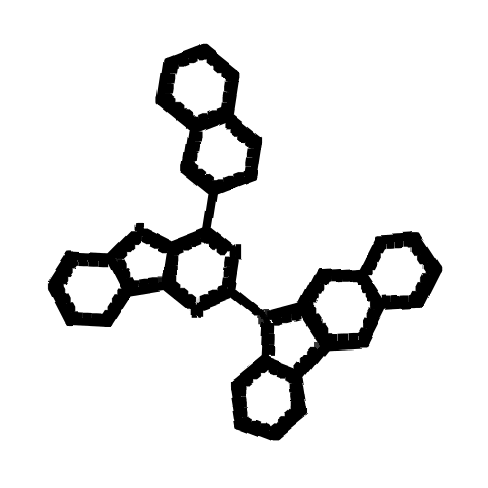 c1ccc2cc(-c3nc(-n4c5ccccc5c5cc6ccccc6cc54)nc4c3sc3ccccc34)ccc2c1